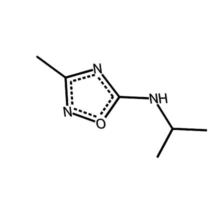 Cc1noc(NC(C)C)n1